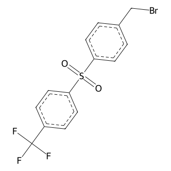 O=S(=O)(c1ccc(CBr)cc1)c1ccc(C(F)(F)F)cc1